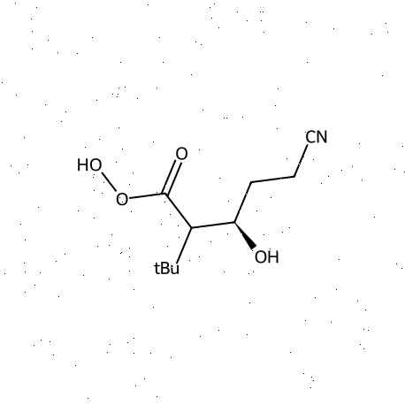 CC(C)(C)C(C(=O)OO)[C@H](O)CCC#N